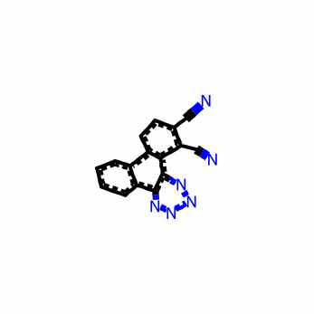 N#Cc1ccc2c3ccccc3c3nnnnc3c2c1C#N